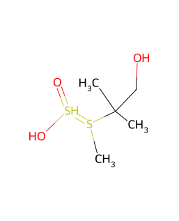 C/S(=[SH](=O)\O)C(C)(C)CO